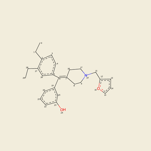 CCc1ccc(C(=C2CCN(Cc3ccco3)CC2)c2cccc(O)c2)cc1CC